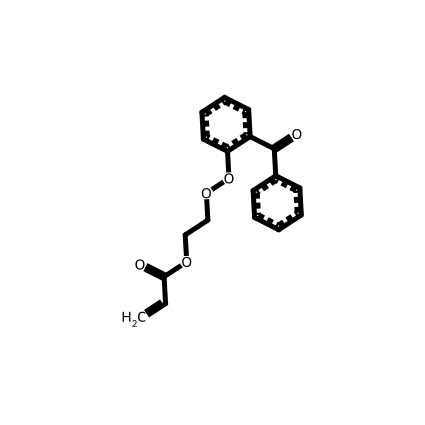 C=CC(=O)OCCOOc1ccccc1C(=O)c1ccccc1